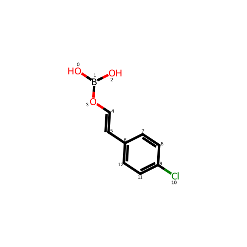 OB(O)O/C=C/c1ccc(Cl)cc1